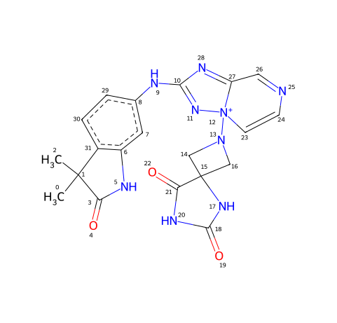 CC1(C)C(=O)Nc2cc(NC3=N[N+]4(N5CC6(C5)NC(=O)NC6=O)C=CN=CC4=N3)ccc21